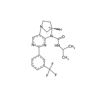 CC(C)NC(=O)N1c2nc(-c3cccc(C(F)(F)F)c3)ncc2N2CC[C@H]1C2